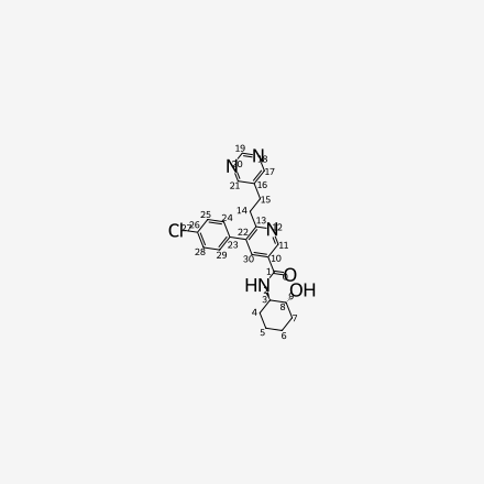 O=C(N[C@@H]1CCCC[C@H]1O)c1cnc(CCc2cncnc2)c(-c2ccc(Cl)cc2)c1